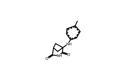 Cc1ccc(NC23CC(C2)C(=O)NC3=O)cc1